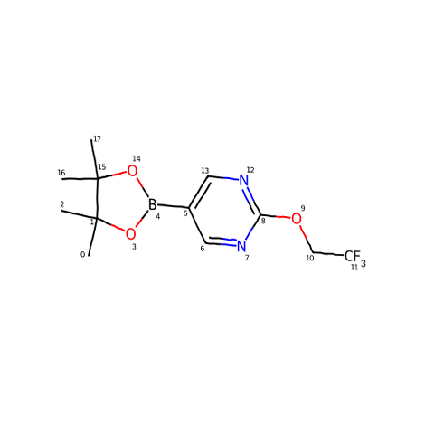 CC1(C)OB(c2cnc(OCC(F)(F)F)nc2)OC1(C)C